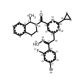 C[C@@H]1c2ccccc2CCN1C(=O)c1cc(C/C(=N/O)c2ccc(Br)cc2F)nc(C2CC2)n1